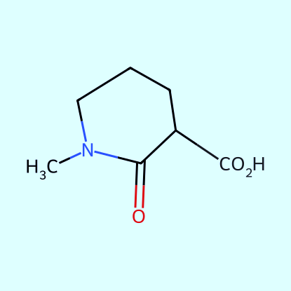 CN1CCCC(C(=O)O)C1=O